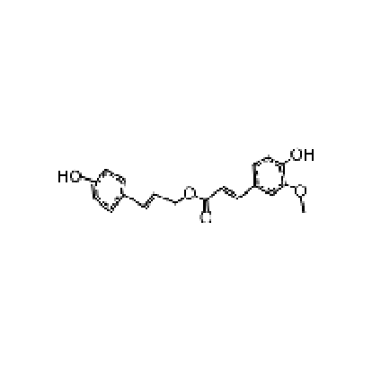 COc1cc(C=CC(=O)OC/C=C/c2ccc(O)cc2)ccc1O